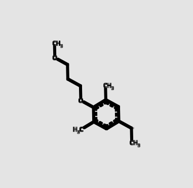 C[CH]c1cc(C)c(OCCCOC)c(C)c1